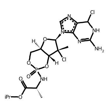 CC(C)OC(=O)[C@@H](C)NP1(=O)OC[C@H]2O[C@@H](n3cnc4c3N=C(N)NC4Cl)[C@](C)(Cl)[C@@H]2O1